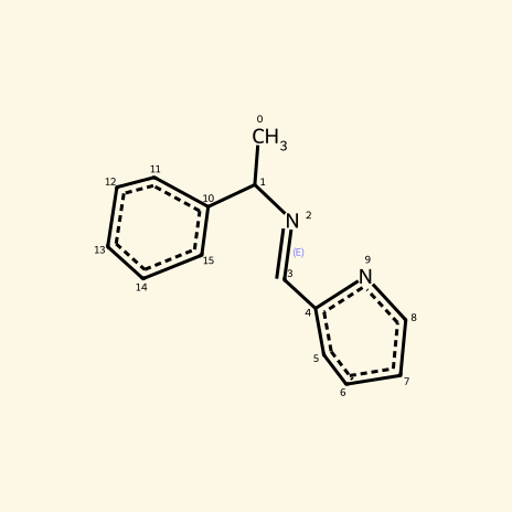 CC(/N=C/c1ccccn1)c1ccccc1